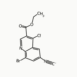 [C-]#[N+]c1cc(Br)c2ncc(C(=O)OCC)c(Cl)c2c1